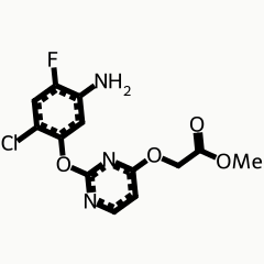 COC(=O)COc1ccnc(Oc2cc(N)c(F)cc2Cl)n1